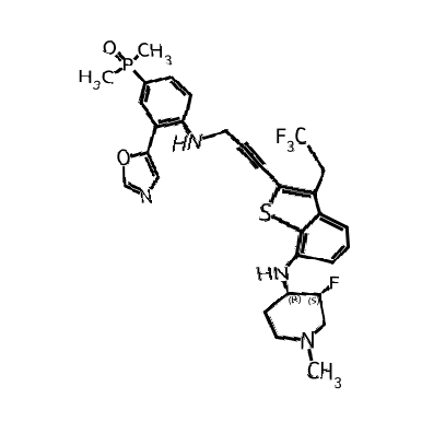 CN1CC[C@@H](Nc2cccc3c(CC(F)(F)F)c(C#CCNc4ccc(P(C)(C)=O)cc4-c4cnco4)sc23)[C@@H](F)C1